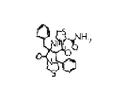 NC(=O)[C@@H]1SCCN1C(=O)[C@@H](Cc1ccccc1)C(N)(Cc1ccccc1)C(=O)N1CCSC1